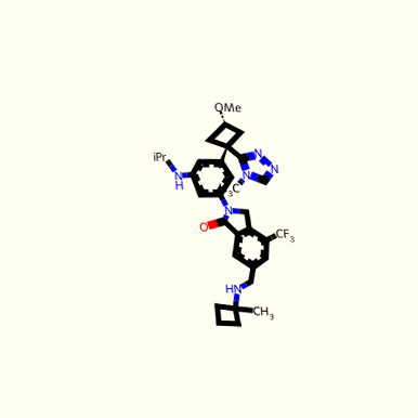 CO[C@H]1C[C@@](c2cc(NC(C)C)cc(N3Cc4c(cc(CNC5(C)CCC5)cc4C(F)(F)F)C3=O)c2)(c2nncn2C)C1